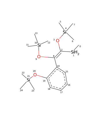 C[SiH2]C(O[Si](C)(C)C)=C(O[Si](C)(C)C)c1ccccc1O[Si](C)(C)C